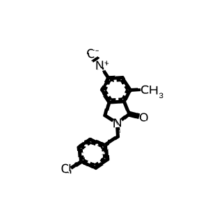 [C-]#[N+]c1cc(C)c2c(c1)CN(Cc1ccc(Cl)cc1)C2=O